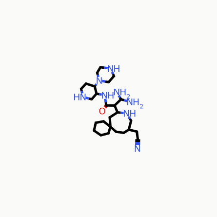 N#CCC1CCC2(CCCCC2)CC(C(C(=O)NC2CNCCC2N2CCNCC2)C(N)N)NC1